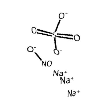 O=N[O-].O=S(=O)([O-])[O-].[Na+].[Na+].[Na+]